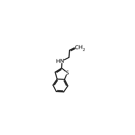 C=CCNc1cc2ccccc2s1